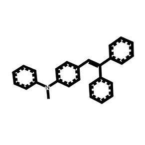 CN(c1ccccc1)c1ccc(C=C(c2ccccc2)c2ccccc2)cc1